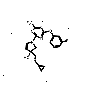 O[C@@]1(CNC2CC2)C=CN(c2nc(Oc3cccc(F)c3)cc(C(F)(F)F)n2)C1